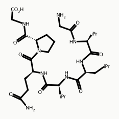 CC(C)C[C@H](NC(=O)[C@@H](NC(=O)CN)C(C)C)C(=O)N[C@H](C(=O)N[C@@H](CCC(N)=O)C(=O)N1CCC[C@H]1C(=O)NCC(=O)O)C(C)C